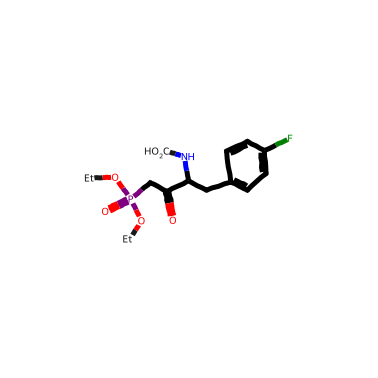 CCOP(=O)(CC(=O)C(Cc1ccc(F)cc1)NC(=O)O)OCC